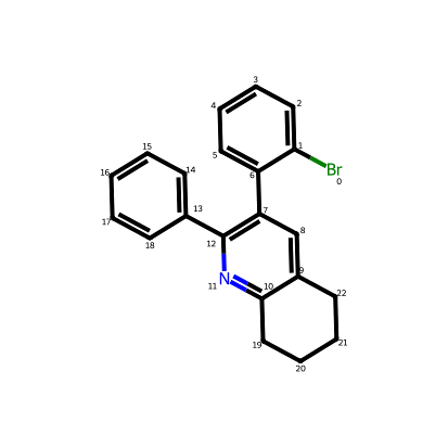 Brc1ccccc1-c1cc2c(nc1-c1ccccc1)CCCC2